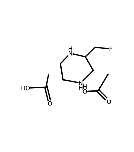 CC(=O)O.CC(=O)O.FCC1CNCCN1